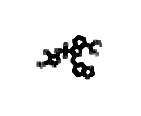 Cc1noc(NS(=O)(=O)c2c(Cc3ccc4c(c3)OCO4)sc3c(N(C)C)cccc23)c1Cl